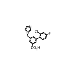 O=C(O)c1cc(Cn2ccnc2)cc(-c2ccc(F)cc2Cl)c1